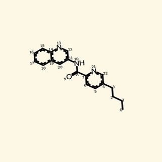 CCCCc1ccc(C(=O)Nc2cnc3ccccc3c2)nc1